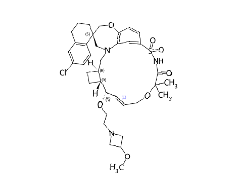 COC1CN(CCO[C@H]2/C=C/COC(C)(C)C(=O)NS(=O)(=O)c3ccc4c(c3)N(C[C@@H]3CC[C@H]32)C[C@@]2(CCCc3cc(Cl)ccc32)CO4)C1